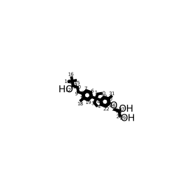 CCC(CC)(c1ccc(CC[C@H](O)C(C)(C)C)c(C)c1)c1ccc(OC[C@@H](O)CO)c(C)c1